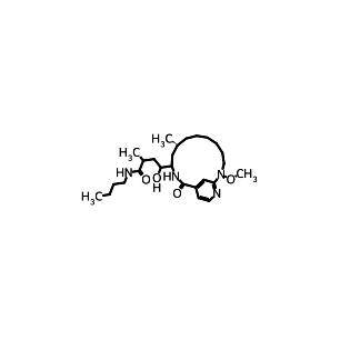 CCCCNC(=O)C(C)CC(O)C1C[C@H](C)CCCCCCN(OC)c2cc(ccn2)C(=O)N1